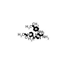 C=CC(=O)N1CCCC(N(C)c2cnc(C(N)=O)c(Nc3ccc(C(C)C)cc3)n2)C1